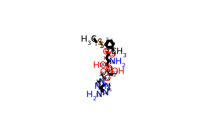 CCSSc1cccc(C)c1OC(=O)C[C@H](N)C(O)OC[C@@H](CO)O[C@H](CO)n1cnc2c(N)ncnc21